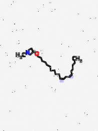 CCCCC/C=C\C/C=C\CCCCCCCCCCO[C@H]1CCN(C)C1